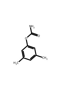 Cc1cc(C)cc(OC(N)=O)c1